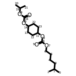 CC(C)CCCCOC(=O)OC1CCC(OC(=O)OC(C)C)CC1